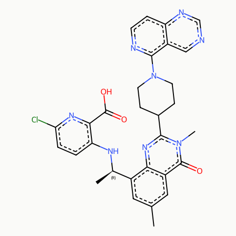 Cc1cc([C@@H](C)Nc2ccc(Cl)nc2C(=O)O)c2nc(C3CCN(c4nccc5ncncc45)CC3)n(C)c(=O)c2c1